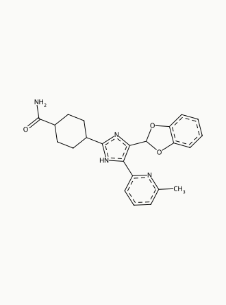 Cc1cccc(-c2[nH]c(C3CCC(C(N)=O)CC3)nc2C2Oc3ccccc3O2)n1